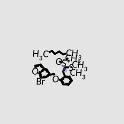 CCCCCC.CS/C(=C\c1c(C)cccc1OCc1cc(Br)c2occc2c1)[S+](C)[O-]